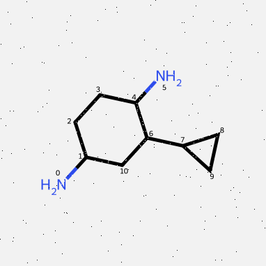 NC1CCC(N)C(C2CC2)C1